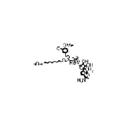 CCCCCCCCCCCCCCCCCCOC[C@H](COP(=O)(O)OC[C@H]1O[C@@](C)(c2ccc3c(N)ncnn23)[C@H](O)[C@@H]1O)OCc1ccc(OC)c(Cl)c1